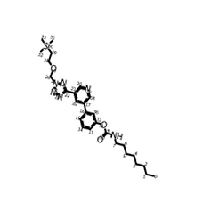 CCCCCCCCNC(=O)Oc1cccc(-c2cncc(-c3nnn(COCC[Si](C)(C)C)n3)c2)c1